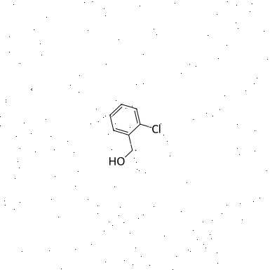 O[CH]c1ccccc1Cl